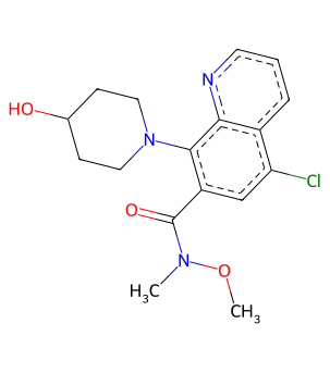 CON(C)C(=O)c1cc(Cl)c2cccnc2c1N1CCC(O)CC1